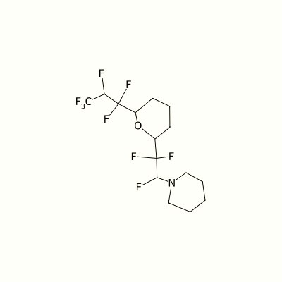 FC(N1CCCCC1)C(F)(F)C1CCCC(C(F)(F)C(F)C(F)(F)F)O1